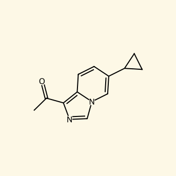 CC(=O)c1ncn2cc(C3CC3)ccc12